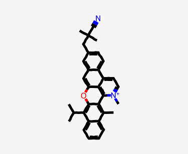 Cc1c2c(c(C(C)C)c3ccccc13)Oc1cc3cc(CC(C)(C)C#N)ccc3c3cc[n+](C)c-2c13